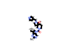 CC(C)(C)Cc1cn(C(=O)N2CCCC3(CCN(Cc4ccncc4)C3=O)C2)c2cnc(C#N)nc12